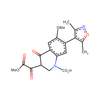 COC(=O)C(=O)C1CN(C(=O)O)c2cc(-c3c(C)noc3C)c(OC)cc2C1=O